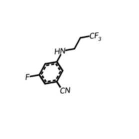 N#Cc1cc(F)cc(NCCC(F)(F)F)c1